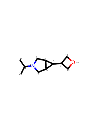 CC(C)N1CC2C(C1)C2C1COC1